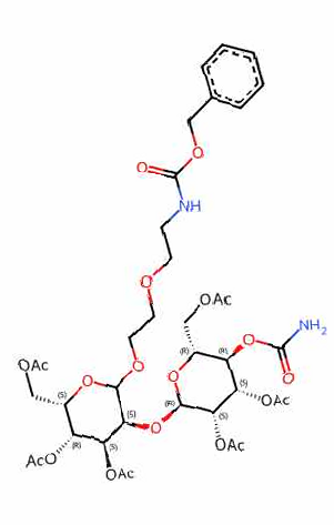 CC(=O)OC[C@@H]1OC(OCCOCCNC(=O)OCc2ccccc2)[C@@H](O[C@H]2O[C@H](COC(C)=O)[C@@H](OC(N)=O)[C@H](OC(C)=O)[C@@H]2OC(C)=O)[C@@H](OC(C)=O)[C@@H]1OC(C)=O